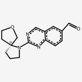 O=Cc1ccc2nc(N3CCC[C@@]34CCOC4)ncc2c1